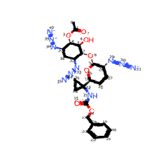 CC(=O)O[C@@H]1[C@@H](O)[C@H](O[C@H]2O[C@H](C3(NC(=O)OCc4ccccc4)CC3)CC[C@H]2N=[N+]=[N-])[C@@H](N=[N+]=[N-])C[C@H]1N=[N+]=[N-]